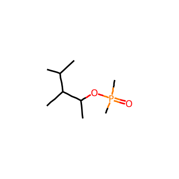 CC(C)C(C)C(C)OP(C)(C)=O